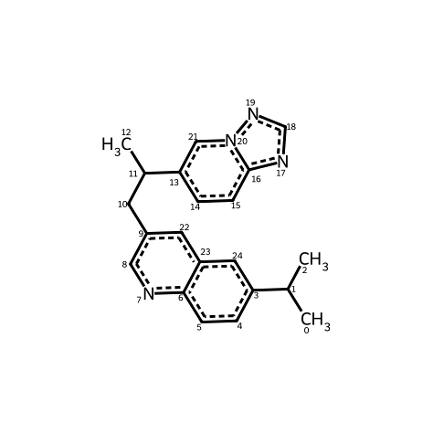 CC(C)c1ccc2ncc(CC(C)c3ccc4ncnn4c3)cc2c1